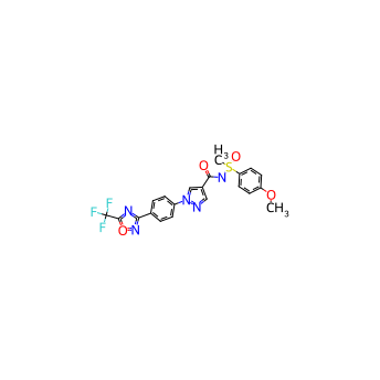 COc1ccc(S(C)(=O)=NC(=O)c2cnn(-c3ccc(-c4noc(C(F)(F)F)n4)cc3)c2)cc1